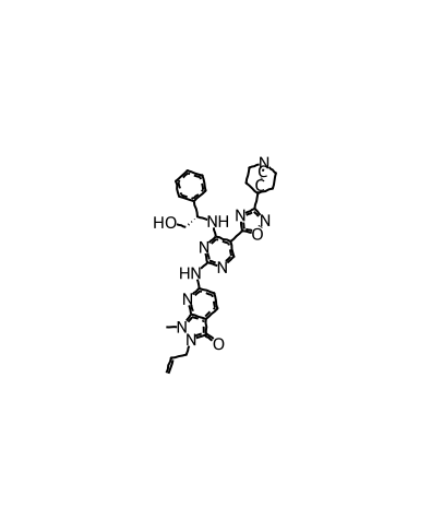 C=CCn1c(=O)c2ccc(Nc3ncc(-c4nc(C56CCN(CC5)CC6)no4)c(N[C@H](CO)c4ccccc4)n3)nc2n1C